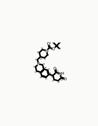 CC(C)(C)OC(=O)N1CCC(CN2CCc3ccc(C4CCC(=O)NC4=O)cc3C2)CC1